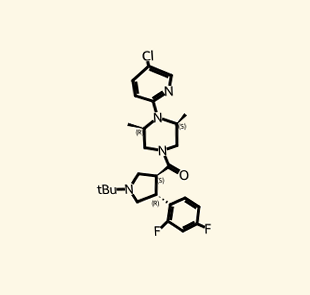 C[C@@H]1CN(C(=O)[C@@H]2CN(C(C)(C)C)C[C@H]2c2ccc(F)cc2F)C[C@H](C)N1c1ccc(Cl)cn1